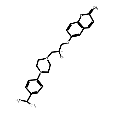 C=C1C=Cc2cc(OC[C@@H](O)CN3CCN(c4ccc(C(C)C)cc4)CC3)ccc2N1